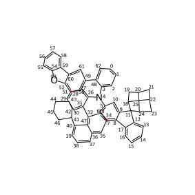 c1ccc(N(c2ccc3c(c2)C2(c4ccccc4-3)C3CC4CC5CC2C453)c2ccccc2-c2cccc3cccc(C4CCCCC4)c23)c(-c2ccc3oc4ccccc4c3c2)c1